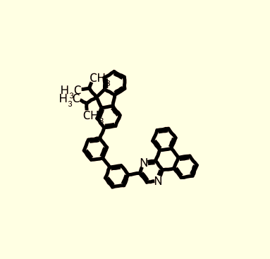 CC(C)C1(C(C)C)c2ccccc2-c2ccc(-c3cccc(-c4cccc(-c5cnc6c7ccccc7c7ccccc7c6n5)c4)c3)cc21